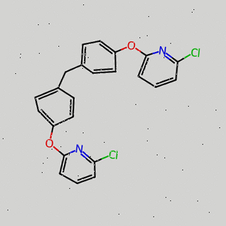 Clc1cccc(Oc2ccc(Cc3ccc(Oc4cccc(Cl)n4)cc3)cc2)n1